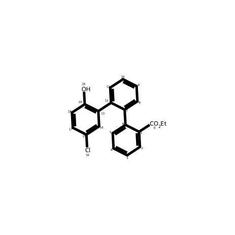 CCOC(=O)c1ccccc1-c1ccccc1-c1cc(Cl)ccc1O